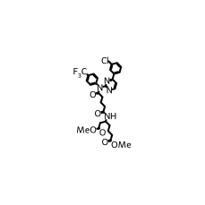 COC(=O)CCCC(CC(=O)OC)NC(=O)CCCC(=O)N(c1ccc(C(F)(F)F)cc1)c1nccc(-c2cccc(Cl)c2)n1